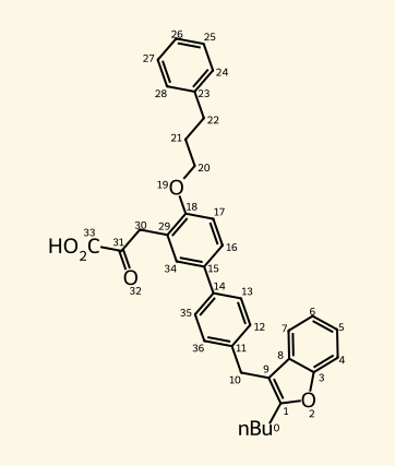 CCCCc1oc2ccccc2c1Cc1ccc(-c2ccc(OCCCc3ccccc3)c(CC(=O)C(=O)O)c2)cc1